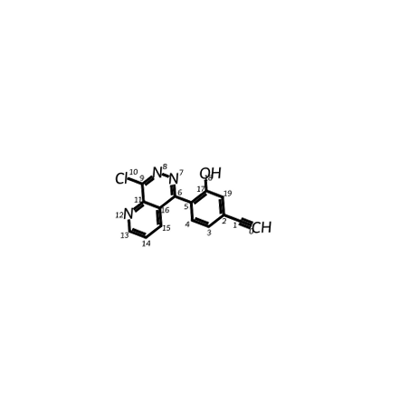 C#Cc1ccc(-c2nnc(Cl)c3ncccc23)c(O)c1